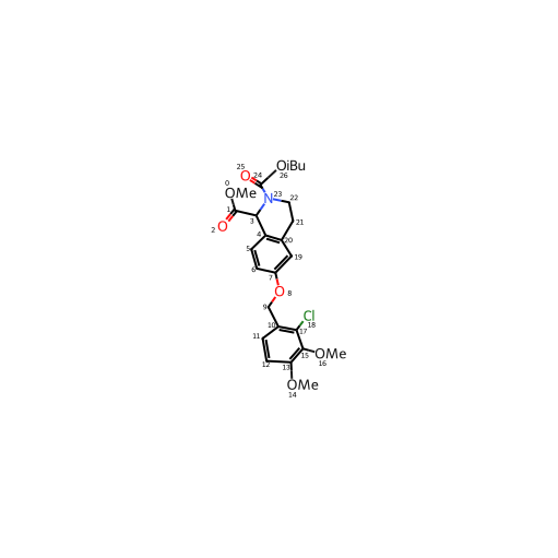 COC(=O)C1c2ccc(OCc3ccc(OC)c(OC)c3Cl)cc2CCN1C(=O)OCC(C)C